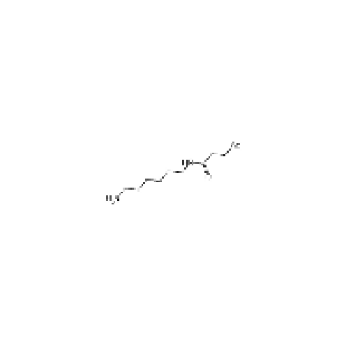 CC(=O)CCC(=O)NCCCCCCN